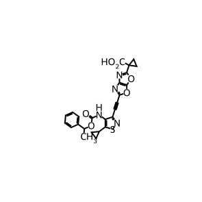 CC(OC(=O)Nc1c(C#Cc2nc3nc(C4(C(=O)O)CC4)oc3o2)nsc1C1CC1)c1ccccc1